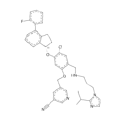 CC(C)c1nccn1CCCNCc1cc(Cl)c(O[C@H]2CCc3c(-c4ccccc4F)cccc32)cc1OCc1cncc(C#N)c1